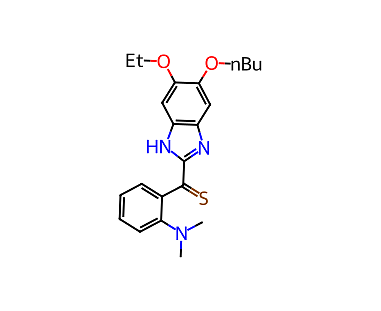 CCCCOc1cc2nc(C(=S)c3ccccc3N(C)C)[nH]c2cc1OCC